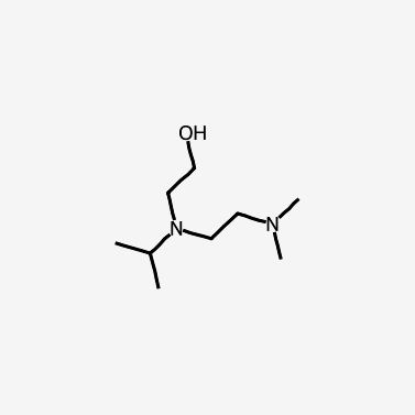 CC(C)N(CCO)CCN(C)C